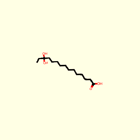 CCC(O)(O)CCCCCCCCCCCC(=O)O